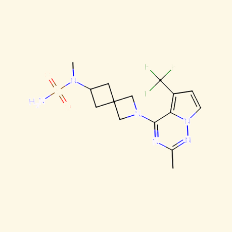 Cc1nc(N2CC3(CC(N(C)S(N)(=O)=O)C3)C2)c2c(C(F)(F)F)ccn2n1